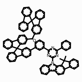 CC1(C)c2ccccc2-c2ccc3c4ccccc4n(-c4nc(-c5ccccc5)nc(-c5cccc(-c6ccc7c(c6)C6(c8ccccc8-c8ccc(C(=O)c9ccc%10c(c9)C9(c%11ccccc%11-c%11ccccc%119)c9ccccc9-%10)cc86)c6ccccc6-7)c5)n4)c3c21